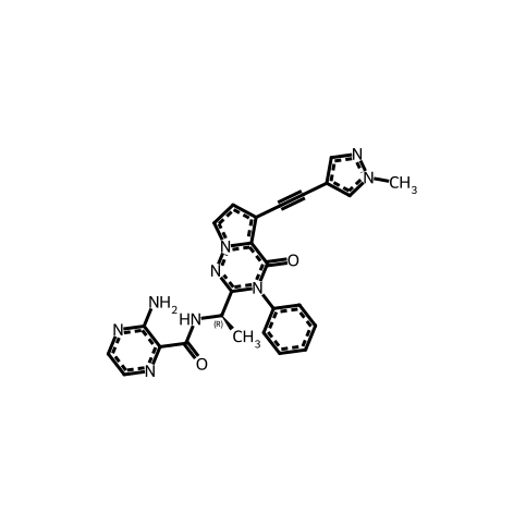 C[C@@H](NC(=O)c1nccnc1N)c1nn2ccc(C#Cc3cnn(C)c3)c2c(=O)n1-c1ccccc1